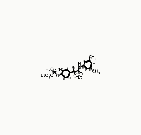 CCOC(=O)C(C)(C)Oc1ccc(C(Br)(OCC)C(=O)Nc2cc(C)cc(C)c2)cc1